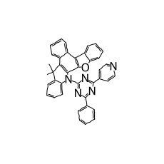 CC1(C)c2ccccc2N(c2nc(-c3ccccc3)nc(-c3ccncc3)n2)c2c1c1ccccc1c1c2oc2ccccc21